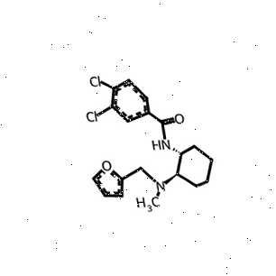 CN(Cc1ccco1)[C@@H]1CCCC[C@H]1NC(=O)c1ccc(Cl)c(Cl)c1